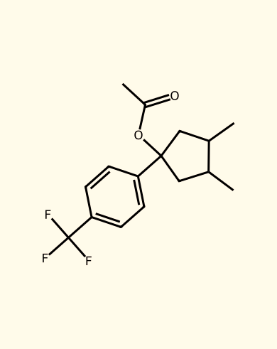 CC(=O)OC1(c2ccc(C(F)(F)F)cc2)CC(C)C(C)C1